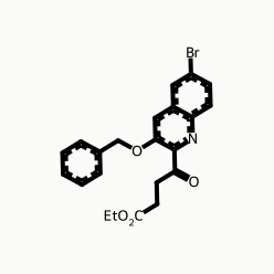 CCOC(=O)CCC(=O)c1nc2ccc(Br)cc2cc1OCc1ccccc1